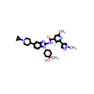 Cc1cc(C(=O)Nc2nc3cc(C4CCN(C5CC5)CC4)ccc3n2[C@H]2CC[C@@](C)(O)CC2)c(F)c(-c2cnn(C)c2)n1